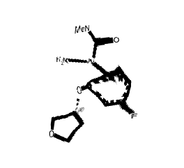 CNC(=O)N(N)c1ccc(F)cc1O[C@@H]1CCOC1